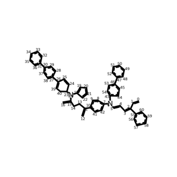 C=C/C(=C\C=C\N(c1ccc(C(=C)CCC(=C)N(C2=CC=C=C2)C2C=CC(c3ccc(-c4ccccc4)cc3)=CC2)cc1)c1ccc(-c2ccccc2)cc1)c1ccccc1